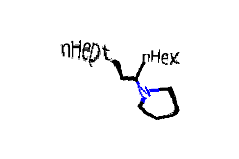 CCCCCCCCC(CCCCCC)N1CCCC1